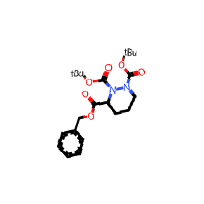 CC(C)(C)OC(=O)N1CCCC(C(=O)OCc2ccccc2)N1C(=O)OC(C)(C)C